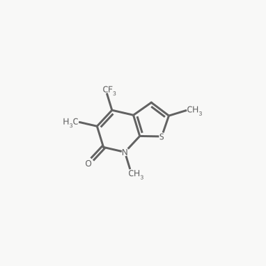 Cc1cc2c(C(F)(F)F)c(C)c(=O)n(C)c2s1